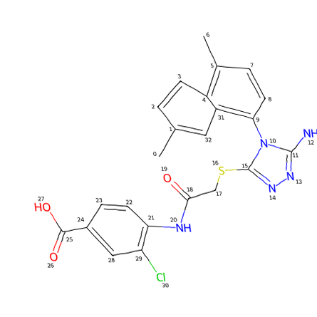 Cc1ccc2c(C)ccc(-n3c(N)nnc3SCC(=O)Nc3ccc(C(=O)O)cc3Cl)c2c1